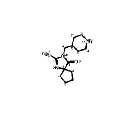 CCCCC1=NC2(CCCC2)C(=O)N1CC1CCNCC1